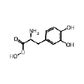 N[C@@H](Cc1ccc(O)c(O)c1)C(=O)OO